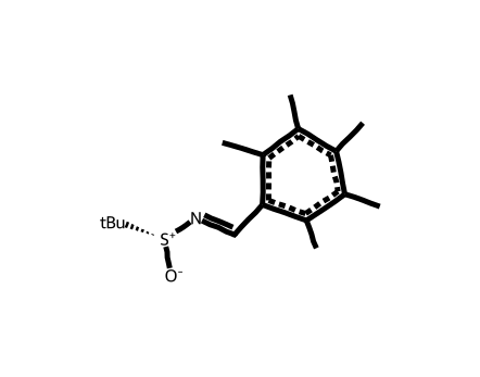 Cc1c(C)c(C)c(/C=N/[S@+]([O-])C(C)(C)C)c(C)c1C